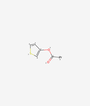 CC(C)C(=O)Oc1ccsc1